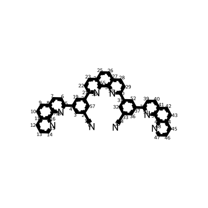 N#Cc1cc(-c2ccc3ccc4cccnc4c3n2)cc(-c2ccc3ccc4ccc(-c5cc(C#N)cc(-c6ccc7ccc8cccnc8c7n6)c5)nc4c3n2)c1